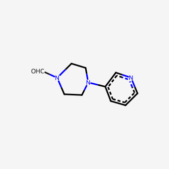 O=CN1CCN(c2cccnc2)CC1